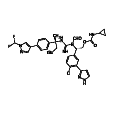 CC(C)(C)C[C@@](C)(NC(=N)N(C=O)[C@H](COC(=O)NC1CC1)c1ccc(Cl)c(-c2cc[nH]n2)c1)c1ccc(-c2cnn(C(F)F)c2)cc1